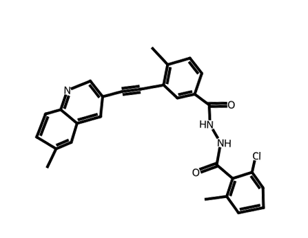 Cc1ccc2ncc(C#Cc3cc(C(=O)NNC(=O)c4c(C)cccc4Cl)ccc3C)cc2c1